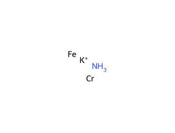 N.[Cr].[Fe].[K+]